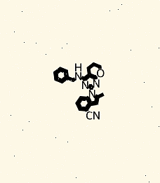 Cc1cc2c(C#N)cccc2n1-c1nc(NCc2ccccc2)c2c(n1)OCCC2